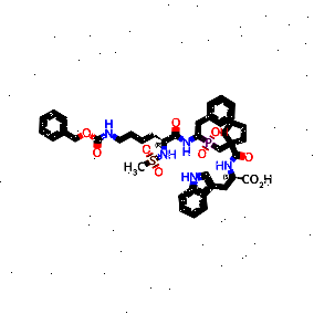 CS(=O)(=O)N[C@H](CCCCNC(=O)OCc1ccccc1)C(=O)NC(Cc1ccccc1)P(=O)(O)CC1(C(=O)N[C@@H](Cc2c[nH]c3ccccc23)C(=O)O)CCCC1